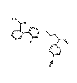 C=CN(CCCc1ccc(-c2ccccc2C(N)=O)c(F)c1)c1ccc(C#N)cc1